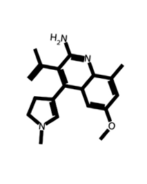 C=C(C)C1=C(C2=CN(C)CC2)C2C=C(OC)C=C(C)C2N=C1N